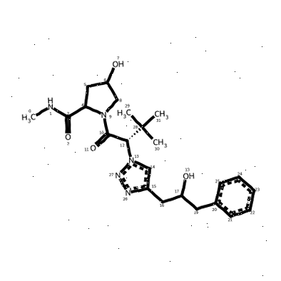 CNC(=O)C1CC(O)CN1C(=O)[C@@H](n1cc(CC(O)Cc2ccccc2)nn1)C(C)(C)C